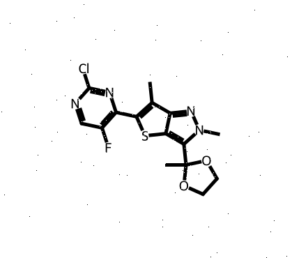 Cc1c(-c2nc(Cl)ncc2F)sc2c(C3(C)OCCO3)n(C)nc12